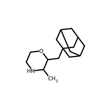 CC1NCCOC1CC12CC3CC(CC(C3)C1)C2